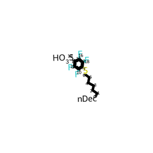 CCCCCCCCCCCCCCCCSc1c(F)c(F)c(S(=O)(=O)O)c(F)c1F